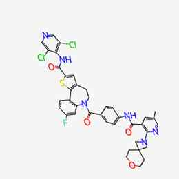 Cc1cnc(N2CC3(CCOCC3)C2)c(C(=O)Nc2ccc(C(=O)N3CCc4cc(C(=O)Nc5c(Cl)cncc5Cl)sc4-c4ccc(F)cc43)cc2)c1